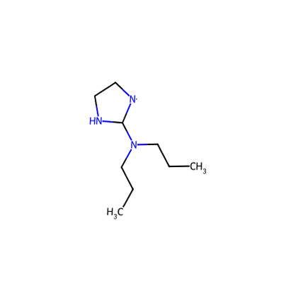 CCCN(CCC)C1[N]CCN1